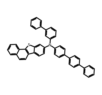 c1ccc(-c2ccc(-c3ccc(N(c4cccc(-c5ccccc5)c4)c4ccc5c(c4)sc4c6ccccc6ccc54)cc3)cc2)cc1